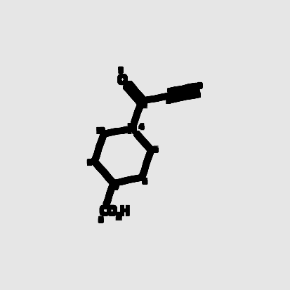 C#CC(=O)N1CCC(C(=O)O)CC1